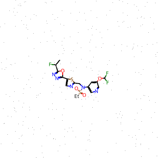 CCS(=O)(=O)N(Cc1ncc(-c2nnc(C(C)F)o2)s1)c1cncc(OC(F)F)c1